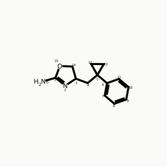 NC1=NC(CC2(c3ccccc3)CC2)CO1